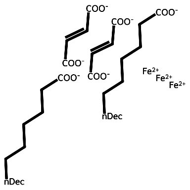 CCCCCCCCCCCCCCCC(=O)[O-].CCCCCCCCCCCCCCCC(=O)[O-].O=C([O-])/C=C/C(=O)[O-].O=C([O-])/C=C/C(=O)[O-].[Fe+2].[Fe+2].[Fe+2]